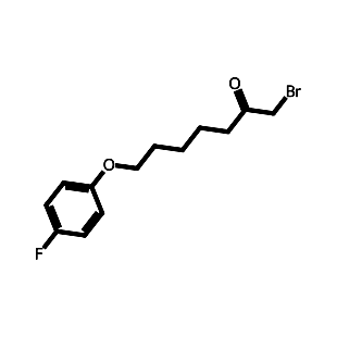 O=C(CBr)CCCCCOc1ccc(F)cc1